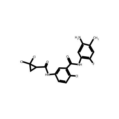 Cc1cc(F)c(NC(=O)c2cc(NC(=O)C3CC3(Cl)Cl)ccc2Cl)cc1N